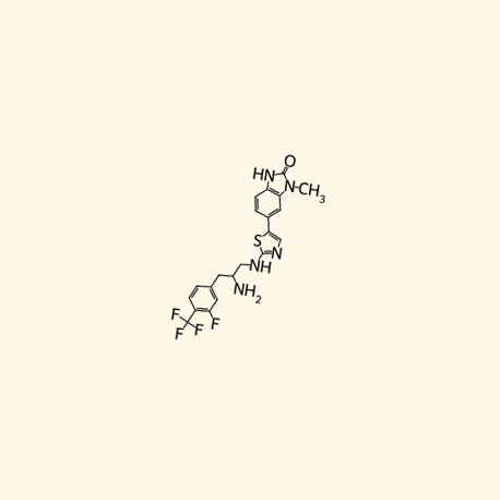 Cn1c(=O)[nH]c2ccc(-c3cnc(NCC(N)Cc4ccc(C(F)(F)F)c(F)c4)s3)cc21